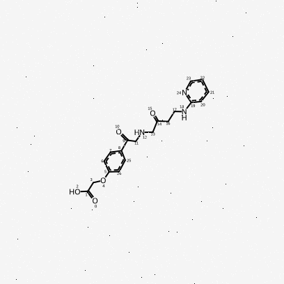 O=C(O)COc1ccc(C(=O)CNCC(=O)CCNc2ccccn2)cc1